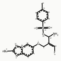 CCCCc1nc2ccc(OC/C(=C\F)C(N)OS(=O)(=O)c3ccc(C)cc3)cn2n1